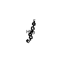 O=C(Nc1ccc2c(c1)CCC(CN1CCCC1)=C2)N1CCC(c2ccc(F)cc2)CC1